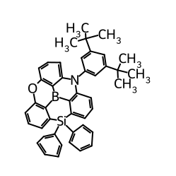 CC(C)(C)c1cc(N2c3cccc4c3B3c5c(cccc5[Si](c5ccccc5)(c5ccccc5)c5cccc2c53)O4)cc(C(C)(C)C)c1